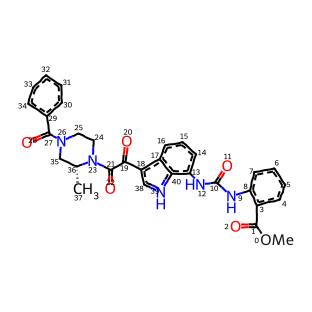 COC(=O)c1ccccc1NC(=O)Nc1cccc2c(C(=O)C(=O)N3CCN(C(=O)c4ccccc4)C[C@H]3C)c[nH]c12